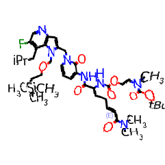 CC(C)Cc1c(F)cnc2cc(Cn3cccc(NC(=O)C(CC/C=C/C(=O)N(C)C)NC(=O)OCCN(C)C(=O)OC(C)(C)C)c3=O)n(COCC[Si](C)(C)C)c12